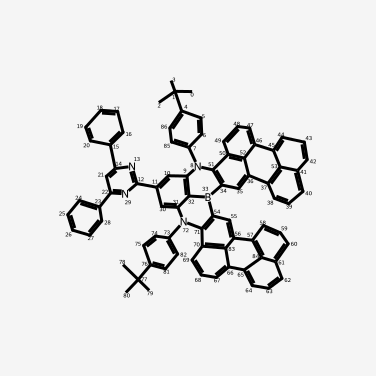 CC(C)(C)c1ccc(N2c3cc(-c4nc(-c5ccccc5)cc(-c5ccccc5)n4)cc4c3B(c3cc5c6cccc7cccc(c8cccc(c32)c85)c76)c2cc3c5cccc6cccc(c7cccc(c2N4c2ccc(C(C)(C)C)cc2)c73)c65)cc1